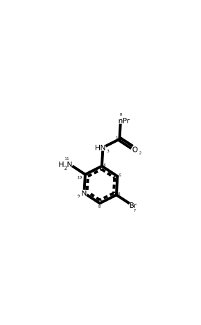 CCCC(=O)Nc1cc(Br)cnc1N